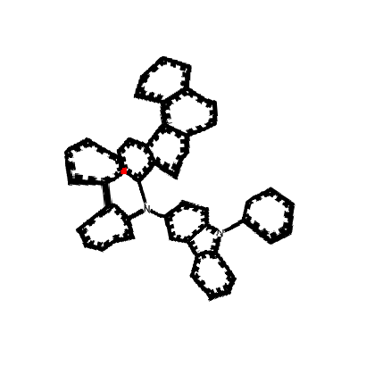 c1ccc(-c2ccccc2N(c2ccc3c(c2)c2ccccc2n3-c2ccccc2)c2cccc3c2ccc2ccc4ccccc4c23)cc1